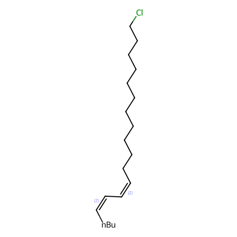 CCCC/C=C\C=C/CCCCCCCCCCCCl